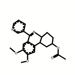 COc1cc2c(cc1OC)C1CC(OC(C)=O)CCC1N=C2c1cccnc1